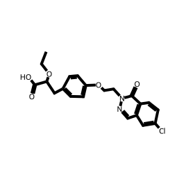 CCOC(Cc1ccc(OCCn2ncc3cc(Cl)ccc3c2=O)cc1)C(=O)O